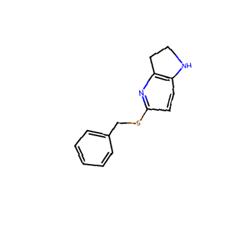 c1ccc(CSc2ccc3c(n2)CCN3)cc1